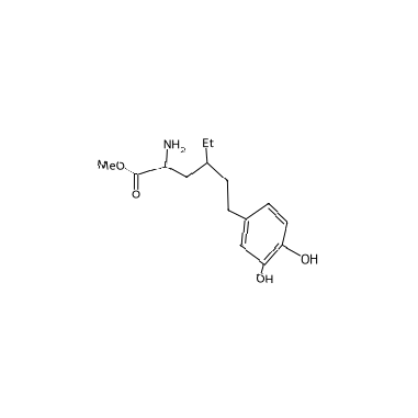 CCC(CCc1ccc(O)c(O)c1)CC(N)C(=O)OC